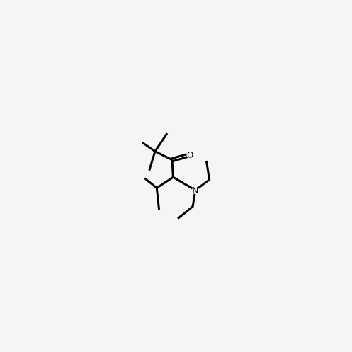 CCN(CC)C(C(=O)C(C)(C)C)C(C)C